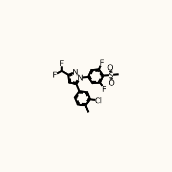 Cc1ccc(-c2cc(C(F)F)nn2-c2cc(F)c(S(C)(=O)=O)c(F)c2)cc1Cl